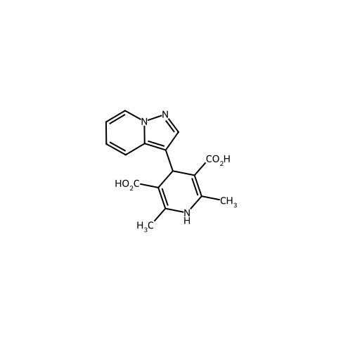 CC1=C(C(=O)O)C(c2cnn3ccccc23)C(C(=O)O)=C(C)N1